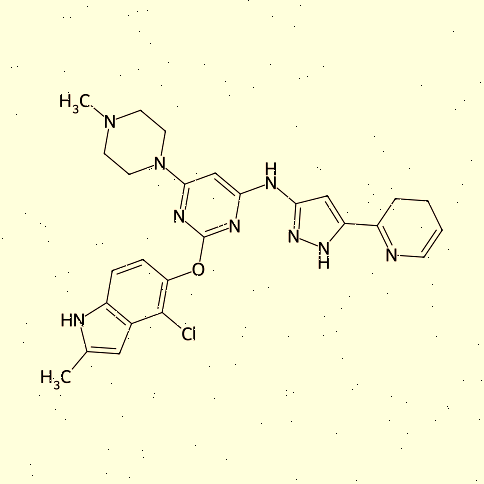 Cc1cc2c(Cl)c(Oc3nc(Nc4cc(C5=NC=CCC5)[nH]n4)cc(N4CCN(C)CC4)n3)ccc2[nH]1